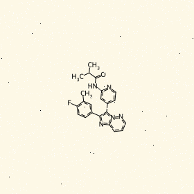 Cc1cc(-c2nc3cccnn3c2-c2ccnc(NC(=O)C(C)C)c2)ccc1F